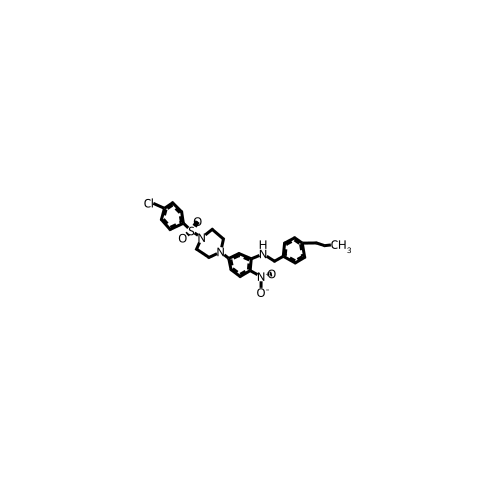 CCCc1ccc(CNc2cc(N3CCN(S(=O)(=O)c4ccc(Cl)cc4)CC3)ccc2[N+](=O)[O-])cc1